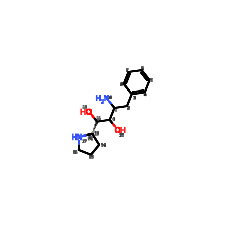 NC(Cc1ccccc1)C(O)C(O)[C@@H]1CCCN1